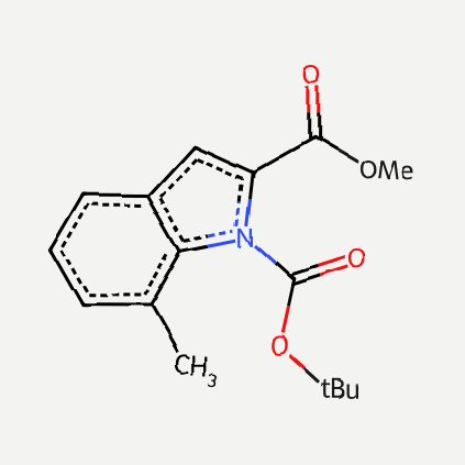 COC(=O)c1cc2cccc(C)c2n1C(=O)OC(C)(C)C